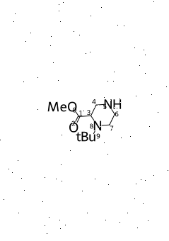 COC(=O)C1CNCCN1C(C)(C)C